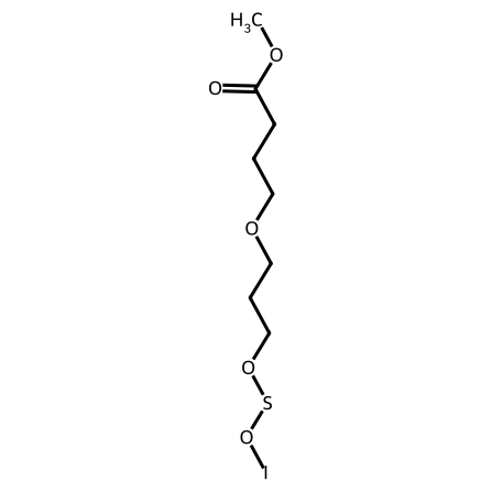 COC(=O)CCCOCCCOSOI